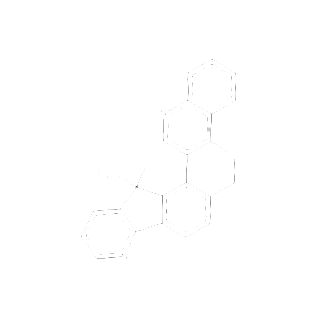 CC1(C)c2cccnc2-c2ccc3c(c21)-c1cnc2ccccc2c1OC3